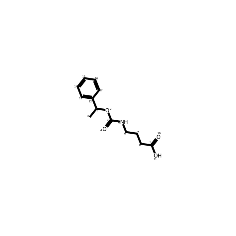 CC(OC(=O)NCCCC(=O)O)c1ccccc1